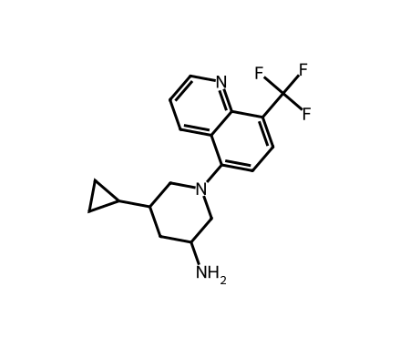 NC1CC(C2CC2)CN(c2ccc(C(F)(F)F)c3ncccc23)C1